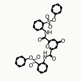 O=C(Nc1ccccc1S(=O)(=O)Oc1ccccc1)c1cc(=O)cc(C(=O)Nc2ccccc2S(=O)(=O)Oc2ccccc2)o1